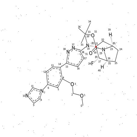 COCOc1cc(-n2ccnc2)ccc1-c1ccc(N(C)[C@@H]2C[C@H]3CC[C@@H]([C@@H]2F)N3C(=O)OC(C)(C)C)nn1